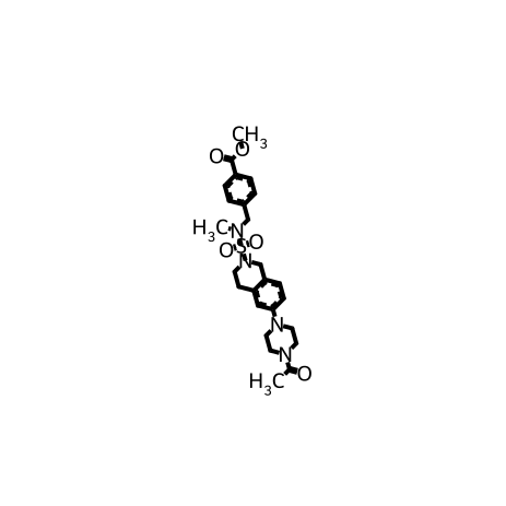 COC(=O)c1ccc(CN(C)S(=O)(=O)N2CCc3cc(N4CCN(C(C)=O)CC4)ccc3C2)cc1